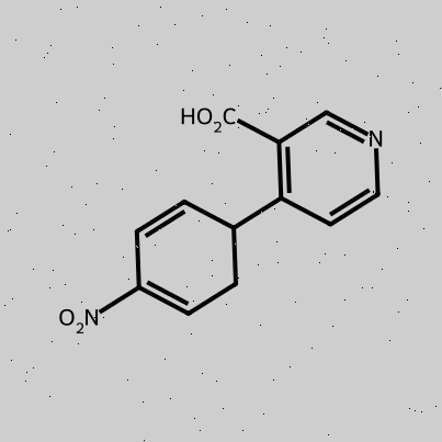 O=C(O)c1cnccc1C1C=CC([N+](=O)[O-])=CC1